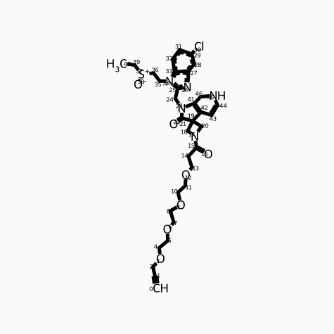 C#CCOCCOCCOCCOCCC(=O)N1CC2(C1)C(=O)N(Cc1nc3cc(Cl)ccc3n1CC[S+]([O-])CC)C1=C2C=CNC1